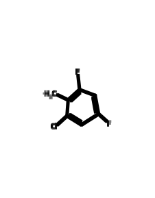 [CH2]c1c(F)cc(F)cc1Cl